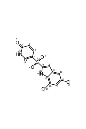 O=c1ccc(S(=O)(=O)c2cc3cc(Cl)cc(Cl)c3[nH]2)n[nH]1